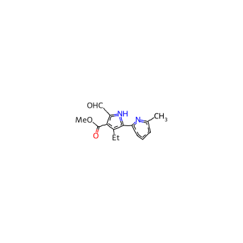 CCc1c(-c2cccc(C)n2)[nH]c(C=O)c1C(=O)OC